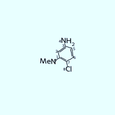 CNc1cc(N)ccc1Cl